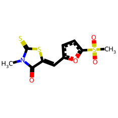 CN1C(=O)C(=Cc2ccc(S(C)(=O)=O)o2)SC1=S